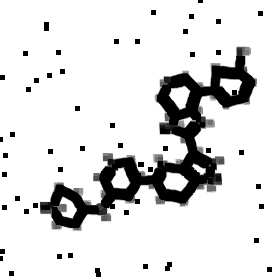 Fc1cccc(-c2cncc3[nH]c(-c4n[nH]c5ccc(-c6cncc(OC7CCNCC7)c6)nc45)nc23)c1